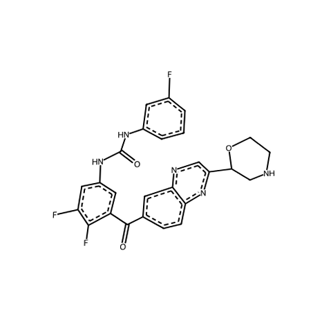 O=C(Nc1cccc(F)c1)Nc1cc(F)c(F)c(C(=O)c2ccc3nc(C4CNCCO4)cnc3c2)c1